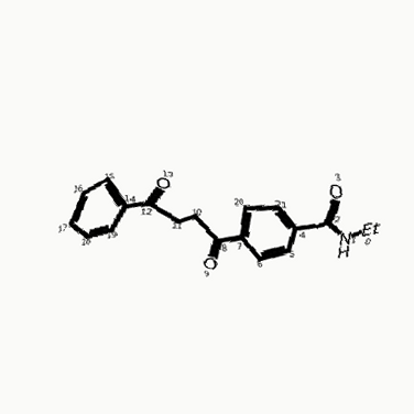 CCNC(=O)c1ccc(C(=O)CCC(=O)c2ccccc2)cc1